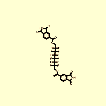 O=C(OCC(F)(F)C(F)(F)C(F)(F)C(F)(F)C(F)(F)C(F)(F)COC(=O)c1ccc2c(c1)C(=O)NC2=O)c1ccc2c(c1)C(=O)NC2=O